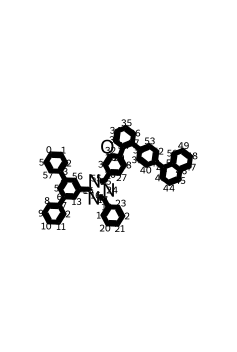 c1ccc(-c2cc(-c3ccccc3)cc(-c3nc(-c4ccccc4)nc(-c4ccc5c(c4)oc4cccc(-c6ccc(-c7cccc8ccccc78)cc6)c45)n3)c2)cc1